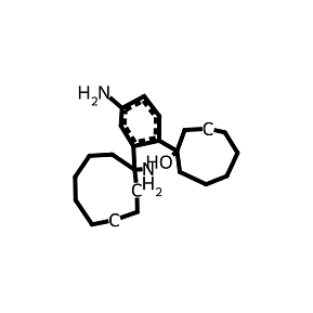 Nc1ccc(C2(O)CCCCCCC2)c(C2(N)CCCCCCCC2)c1